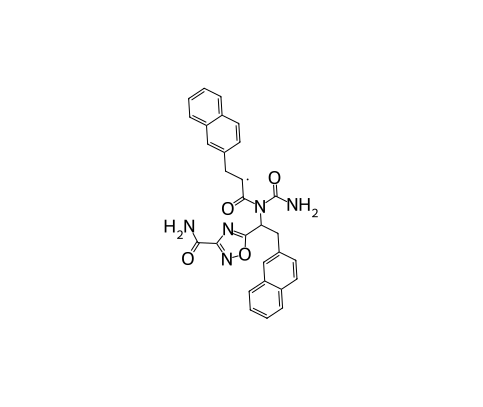 NC(=O)c1noc(C(Cc2ccc3ccccc3c2)N(C(N)=O)C(=O)[CH]Cc2ccc3ccccc3c2)n1